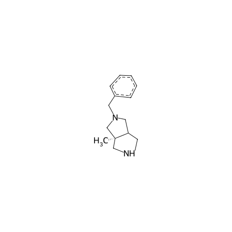 C[C@@]12CNCCC1CN(Cc1ccccc1)C2